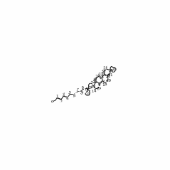 CCCCCCCCCCC(=O)O[C@H]1CCC2C3CCC4=CC(=O)CC[C@]4(C)C3CC[C@@]21C